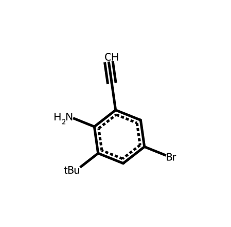 C#Cc1cc(Br)cc(C(C)(C)C)c1N